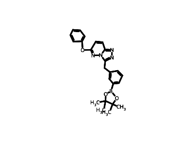 CC1(C)OB(c2cccc(Cc3nnc4ccc(Oc5ccccc5)nn34)c2)OC1(C)C